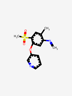 C=Nc1cc(Oc2cccnc2)c(S(C)(=O)=O)cc1C